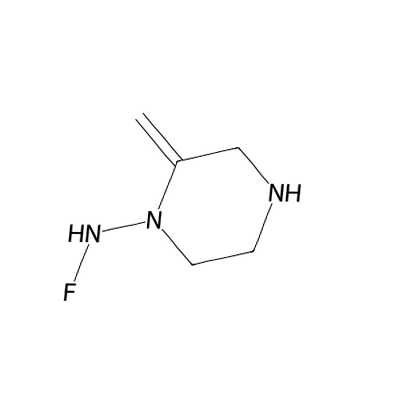 C=C1CNCCN1NF